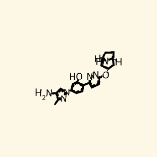 Cc1nn(-c2ccc(-c3ccc(O[C@H]4C[C@H]5CC[C@@H](C4)N5)nn3)c(O)c2)cc1N